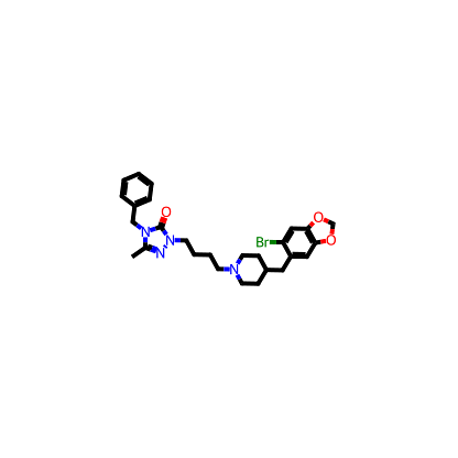 Cc1nn(CCCCN2CCC(Cc3cc4c(cc3Br)OCO4)CC2)c(=O)n1Cc1ccccc1